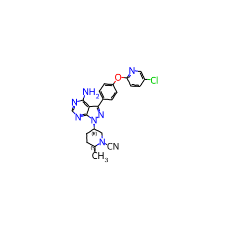 C[C@H]1CC[C@@H](n2nc(-c3ccc(Oc4ccc(Cl)cn4)cc3)c3c(N)ncnc32)CN1C#N